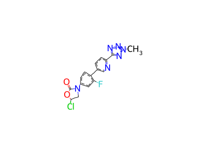 Cn1nnc(-c2ccc(-c3ccc(N4C[C@@H](Cl)OC4=O)cc3F)cn2)n1